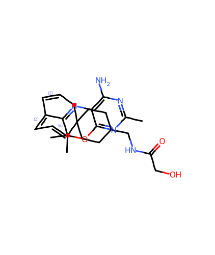 Cc1nc(N)c2c(n1)OC(C)(C)C(C1=C\C=C\C3(C/C=C\1)CCC(CNC(=O)CO)CC3)=N2